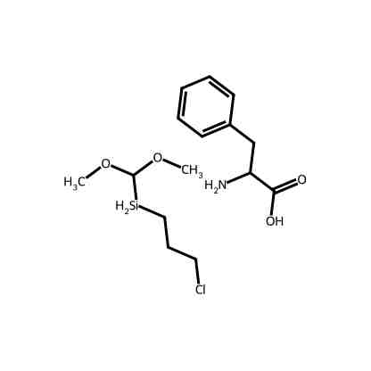 COC(OC)[SiH2]CCCCl.NC(Cc1ccccc1)C(=O)O